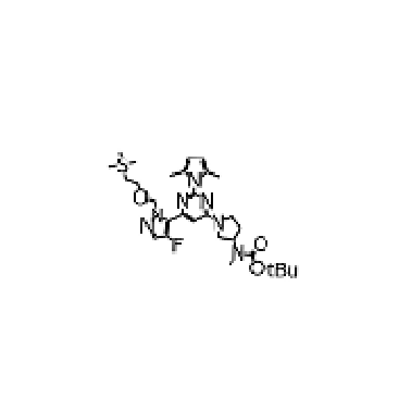 Cc1ccc(C)n1-c1nc(-c2c(F)cnn2COCCS(C)(C)C)cc(N2CC[C@@H](N(C)C(=O)OC(C)(C)C)C2)n1